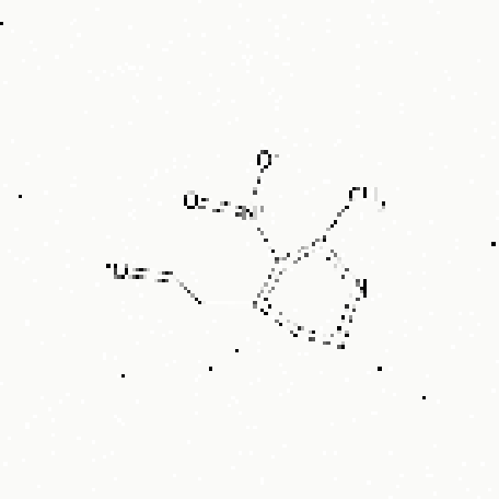 Cc1nccc(CC=O)c1[N+](=O)[O-]